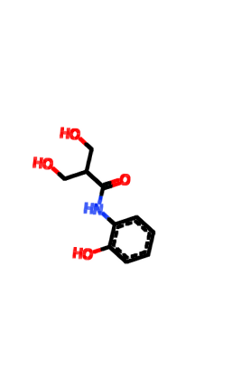 O=C(Nc1ccccc1O)C(CO)CO